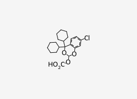 O=C(O)OC1Oc2cc(Cl)ccc2C(C2CCCCC2)(C2CCCCC2)O1